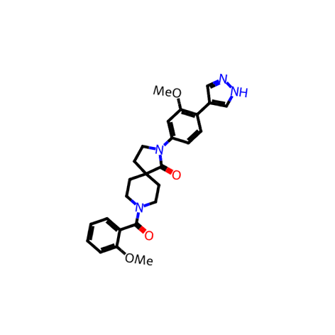 COc1ccccc1C(=O)N1CCC2(CC1)CCN(c1ccc(-c3cn[nH]c3)c(OC)c1)C2=O